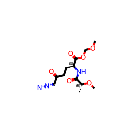 COCOC(=O)[C@H](CCC(=O)C=[N+]=[N-])NC(=O)[C@@H](C)OC